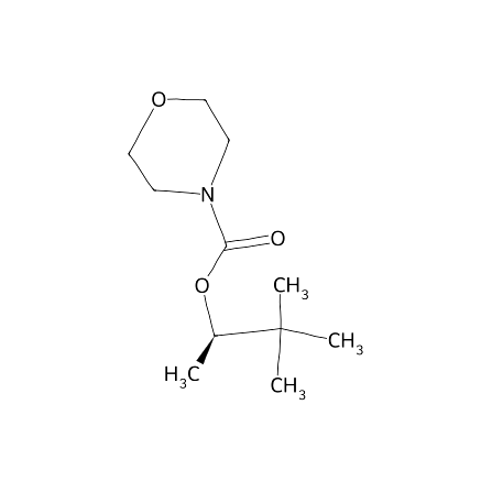 C[C@@H](OC(=O)N1CCOCC1)C(C)(C)C